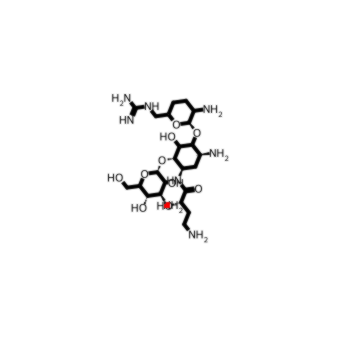 N=C(N)NCC1CCC(N)[C@@H](OC2C(O)[C@@H](O[C@H]3OC(CO)[C@@H](O)[C@H](N)C3O)[C@H](NC(=O)[C@@H](O)CCN)C[C@@H]2N)O1